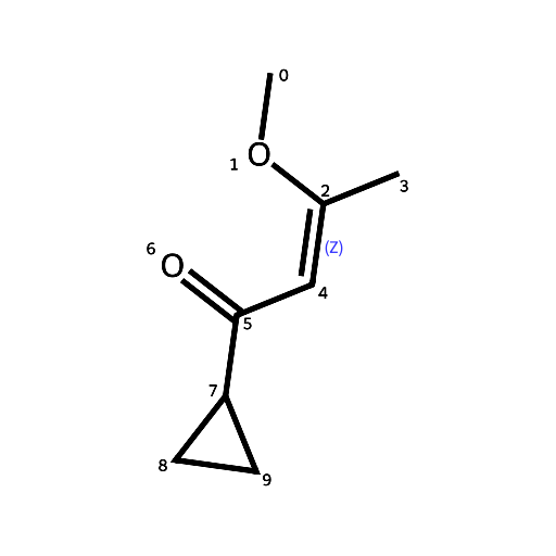 CO/C(C)=C\C(=O)C1CC1